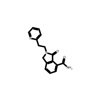 NC(=O)c1cccc2c1C(=O)N(CCc1ccccn1)C2